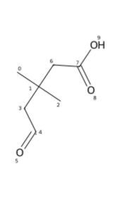 CC(C)(C[C]=O)CC(=O)O